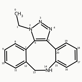 CCn1nnc2c1-c1ccccc1CNc1ccccc1-2